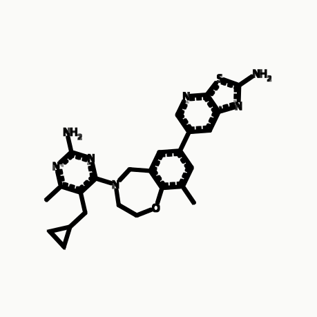 Cc1cc(-c2cnc3sc(N)nc3c2)cc2c1OCCN(c1nc(N)nc(C)c1CC1CC1)C2